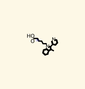 Cc1c(-c2cccnc2)n(CCC/C=C/C(=O)O)c2ccccc12